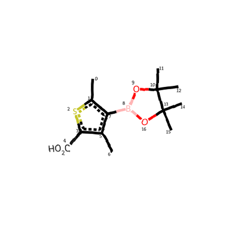 Cc1sc(C(=O)O)c(C)c1B1OC(C)(C)C(C)(C)O1